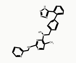 CCCN(Cc1ccc(-c2ccccc2-c2nnn[nH]2)cc1)c1nc(NCc2ccccn2)ncc1C